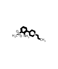 CCCN1CCC(c2cccc(S(C)(=O)=O)c2N)CC1